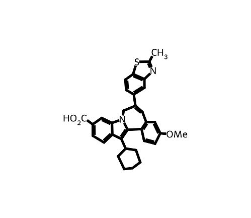 COc1ccc2c(c1)C=C(c1ccc3sc(C)nc3c1)Cn1c-2c(C2CCCCC2)c2ccc(C(=O)O)cc21